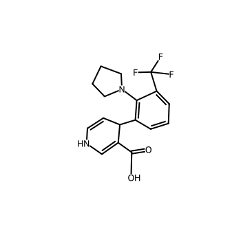 O=C(O)C1=CNC=CC1c1cccc(C(F)(F)F)c1N1CCCC1